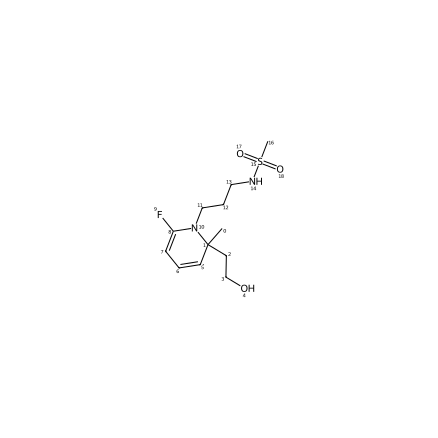 CC1(CCO)[C]=CC=C(F)N1CCCNS(C)(=O)=O